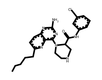 CCCCCc1ccc2nc(N)nc(N3CCNCC3C(=O)Nc3cccc(Cl)c3)c2n1